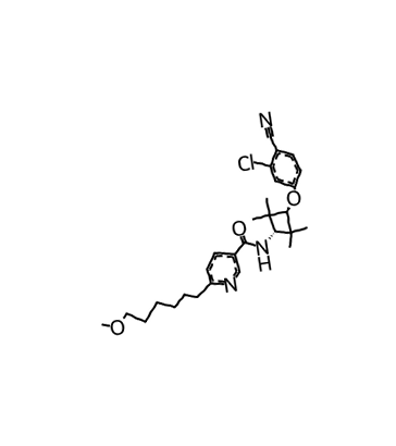 COCCCCCCc1ccc(C(=O)N[C@H]2C(C)(C)[C@H](Oc3ccc(C#N)c(Cl)c3)C2(C)C)cn1